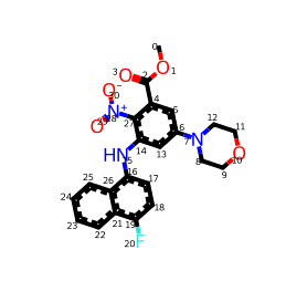 COC(=O)c1cc(N2CCOCC2)cc(Nc2ccc(F)c3ccccc23)c1[N+](=O)[O-]